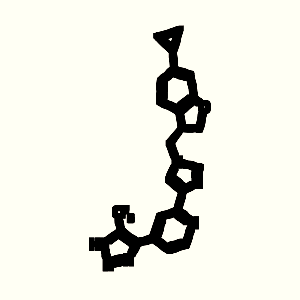 FC(F)(F)c1[nH]nnc1-c1ccnc(-c2cn(C[C@@H]3COc4cc(C5CC5)ccc43)cn2)c1